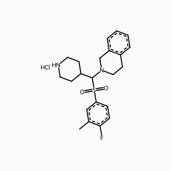 Cc1cc(S(=O)(=O)C(C2CCNCC2)N2CCc3ccccc3C2)ccc1F.Cl